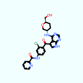 O=C(Nc1ccc(C(=O)c2c[nH]c3ncnc(N[C@H]4CC[C@H](CO)OC4)c23)c(Cl)c1)c1ccccn1